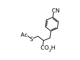 CC(=O)SCC(Cc1ccc(C#N)cc1)C(=O)O